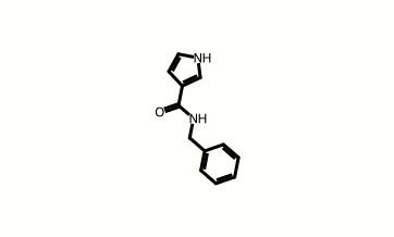 O=C(NCc1ccccc1)c1cc[nH]c1